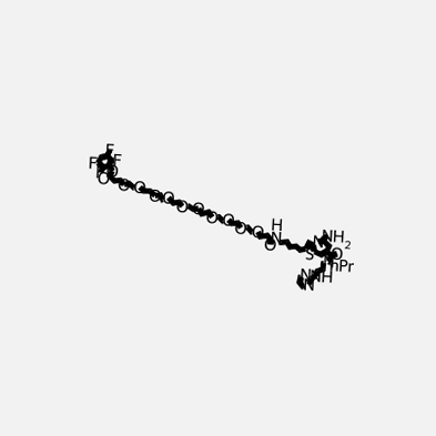 CCCN(CCCNc1ncccn1)C(=O)C1=Cc2sc(CCCCCNC(=O)CCOCCOCCOCCOCCOCCOCCOCCOCCOCCOCCC(=O)Oc3c(F)c(F)cc(F)c3F)cc2N=C(N)C1